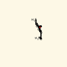 CCCCCC1CCC(C(=O)Oc2ccc(OC(=O)c3ccc(OCCCCCCC4(CC)COC4)cc3)c3c2C2CCC3C2)CC1